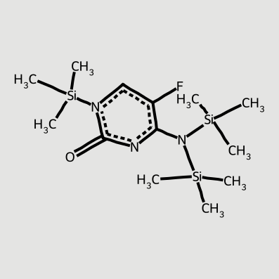 C[Si](C)(C)N(c1nc(=O)n([Si](C)(C)C)cc1F)[Si](C)(C)C